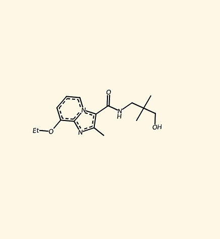 CCOc1cccn2c(C(=O)NCC(C)(C)CO)c(C)nc12